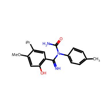 COc1cc(O)c(C(=N)N(C(N)=O)c2ccc(C)cc2)cc1C(C)C